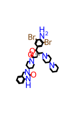 Nc1c(Br)cc(C(=O)[C@H](CC(=O)N2CCC(N3Cc4ccccc4NC3=O)CC2)CN2CCC(N3CCCCC3)CC2)cc1Br